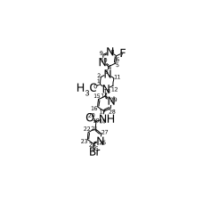 C[C@H]1CN(c2cc(F)ncn2)CCN1c1ccc(NC(=O)c2ccc(Br)nc2)cn1